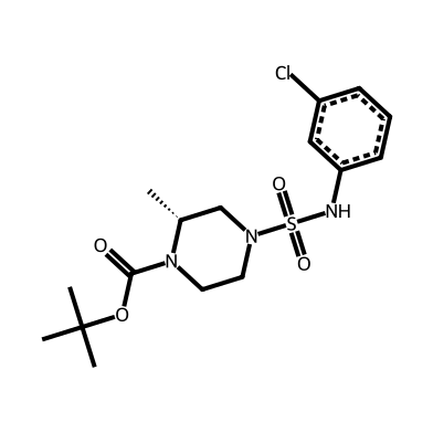 C[C@@H]1CN(S(=O)(=O)Nc2cccc(Cl)c2)CCN1C(=O)OC(C)(C)C